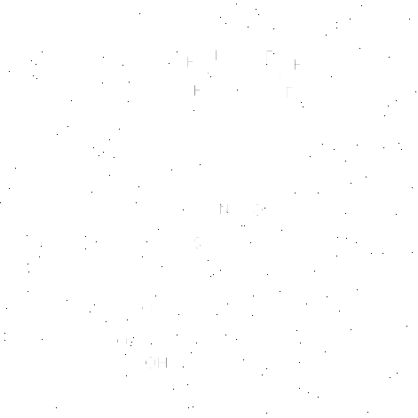 Cc1cc(SCc2nc(-c3ccc(-c4cc(C(F)(F)F)cc(C(F)(F)F)c4)cc3)oc2C)ccc1OCC(=O)O